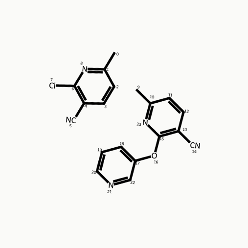 Cc1ccc(C#N)c(Cl)n1.Cc1ccc(C#N)c(Oc2cccnc2)n1